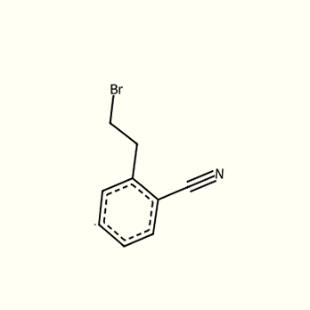 N#Cc1cc[c]cc1CCBr